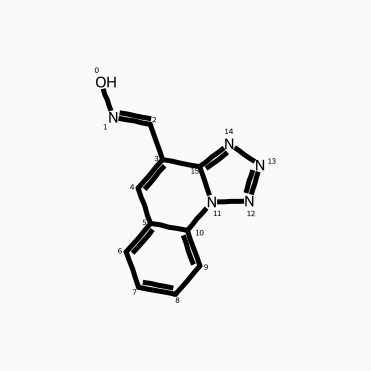 ON=Cc1cc2ccccc2n2nnnc12